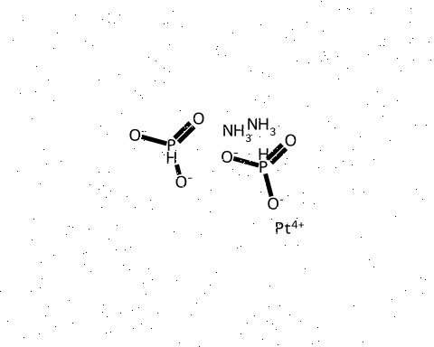 N.N.O=[PH]([O-])[O-].O=[PH]([O-])[O-].[Pt+4]